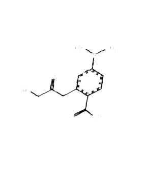 CN(C)c1ccc(C(=O)O)c(CC(=O)CO)c1